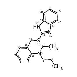 CCCN(CC)c1ccccc1CSc1nc2ccccc2[nH]1